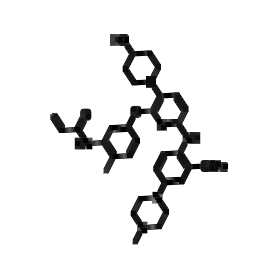 C=CC(=O)Nc1cc(Oc2nc(Nc3ccc(N4CCN(C)CC4)cc3OC)ccc2N2CCC(O)CC2)ccc1C